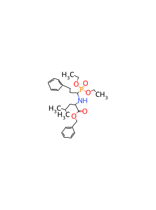 CCOP(=O)(OCC)C(CCc1ccccc1)NC(CC(C)C)C(=O)OCc1ccccc1